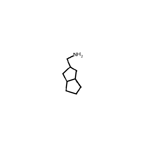 NCC1CC2CCCC2C1